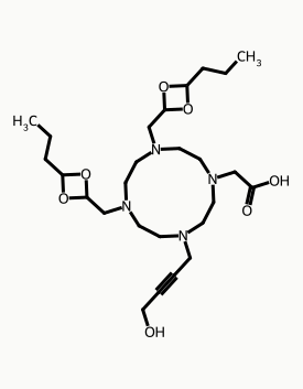 CCCC1OC(CN2CCN(CC#CCO)CCN(CC(=O)O)CCN(CC3OC(CCC)O3)CC2)O1